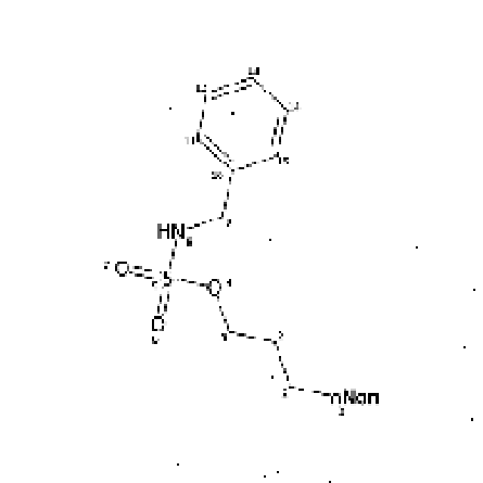 CCCCCCCCCCCCOS(=O)(=O)NCc1ccccc1